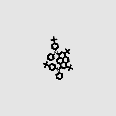 CC(C)(C)c1ccc(N(c2ccccc2)c2cc(C(C)(C)C)c3ccc4c(C(C)(C)C)cc(N(c5ccccc5)c5ccc(C(C)(C)C)cc5)c5ccc2c3c54)cc1